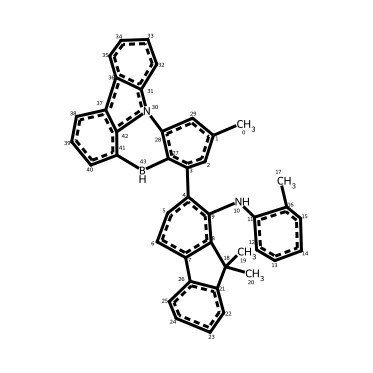 Cc1cc(-c2ccc3c(c2Nc2ccccc2C)C(C)(C)c2ccccc2-3)c2c(c1)-n1c3ccccc3c3cccc(c31)B2